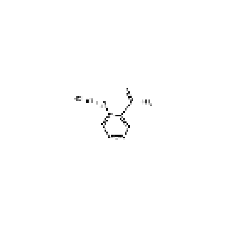 Cl.Cl.NC(=O)c1ccccc1N